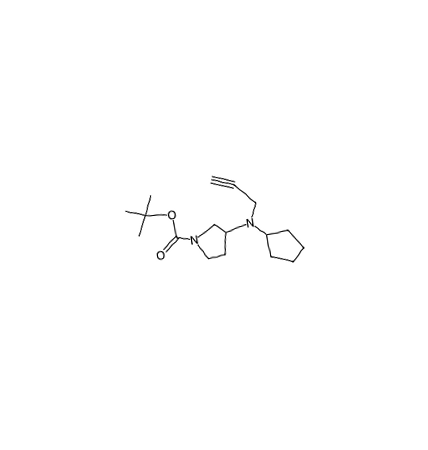 C#CCN(C1CCCC1)C1CCN(C(=O)OC(C)(C)C)C1